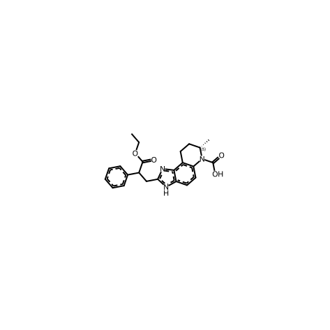 CCOC(=O)C(Cc1nc2c3c(ccc2[nH]1)N(C(=O)O)[C@@H](C)CC3)c1ccccc1